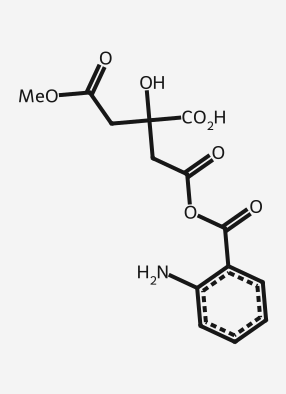 COC(=O)CC(O)(CC(=O)OC(=O)c1ccccc1N)C(=O)O